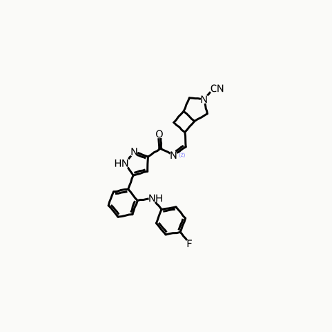 N#CN1CC2CC(/C=N\C(=O)c3cc(-c4ccccc4Nc4ccc(F)cc4)[nH]n3)C2C1